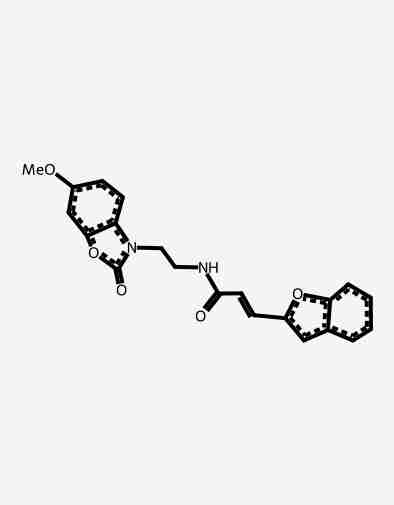 COc1ccc2c(c1)oc(=O)n2CCNC(=O)/C=C/c1cc2ccccc2o1